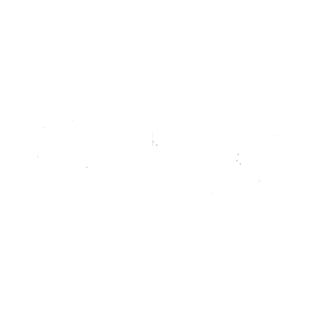 O=C(CC1CCCCC1)NCCC(=O)n1[c]ccc1